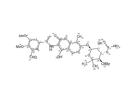 COc1cc(C(=O)Nc2c(O)c3ccc(O[C@@H]4OC(C)(C)[C@H](OC)[C@@H](OC(N)=O)[C@H]4O)c(C)c3oc2=O)cc(C=O)c1OC